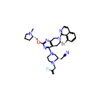 C=C(F)CN1CCN(c2nc(OC[C@@H]3CCCN3C)nc3c2CCN(c2nccc4cccc(Br)c24)C3)C[C@@H]1CC#N